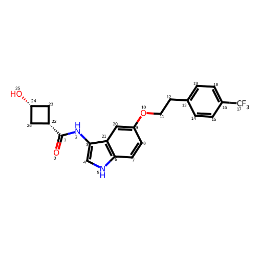 O=C(Nc1c[nH]c2ccc(OCCc3ccc(C(F)(F)F)cc3)cc12)[C@H]1C[C@@H](O)C1